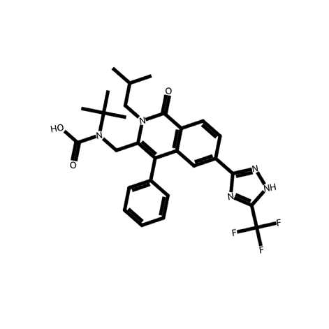 CC(C)Cn1c(CN(C(=O)O)C(C)(C)C)c(-c2ccccc2)c2cc(-c3n[nH]c(C(F)(F)F)n3)ccc2c1=O